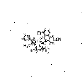 CCc1ccccc1[C@H](Cn1c(=O)n(C(C)(C)C(=O)O)c(=O)c2c(C)c(-n3nccn3)sc21)O[C@H]1CC[C@@H](C#N)CC1